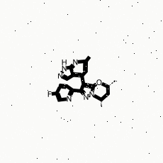 Cc1cc(-c2c(-c3ccc(F)cn3)nn3c2O[C@H](C)C[C@@H]3C)c2cn[nH]c2n1